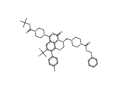 CC(C)(C)OC(=O)N1CCN(c2nc(=O)n3c4c(c(-c5ccc(F)cc5)c(C(F)(F)F)cc24)SC[C@@H]3CN2CCN(C(=O)OCc3ccccc3)CC2)CC1